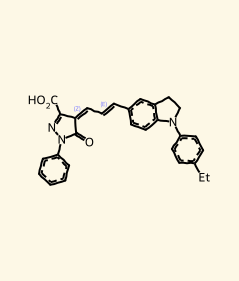 CCc1ccc(N2CCc3cc(/C=C/C=C4\C(=O)N(c5ccccc5)N=C4C(=O)O)ccc32)cc1